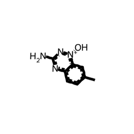 Cc1ccc2nc(N)n[n+](O)c2c1